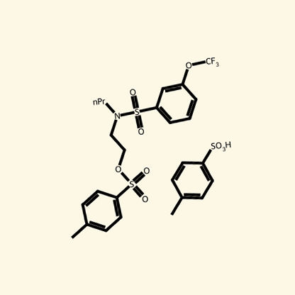 CCCN(CCOS(=O)(=O)c1ccc(C)cc1)S(=O)(=O)c1cccc(OC(F)(F)F)c1.Cc1ccc(S(=O)(=O)O)cc1